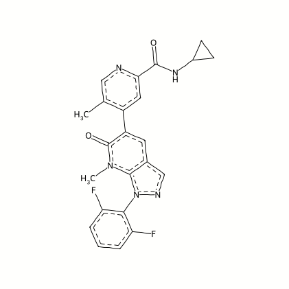 Cc1cnc(C(=O)NC2CC2)cc1-c1cc2cnn(-c3c(F)cccc3F)c2n(C)c1=O